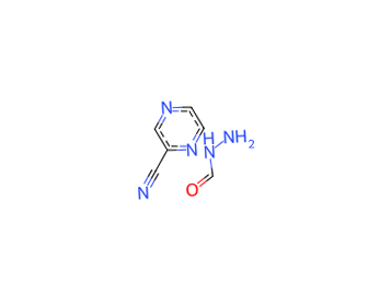 N#Cc1cnccn1.NNC=O